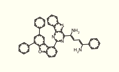 N/C(=C\C=C(/N)c1nc(-c2cccc3oc4c(-c5ccccc5)cc(-c5ccccc5)cc4c23)nc2c1sc1ccccc12)c1ccccc1